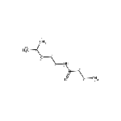 CCCC(=O)NCCOC(C)C